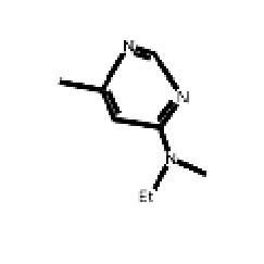 CCN(C)c1cc(C)ncn1